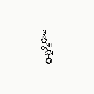 N#CN1CCC(NC(=O)c2cnc(-c3ccccc3)s2)C1